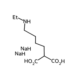 CCNCCCCC(C(=O)O)C(=O)O.[NaH].[NaH]